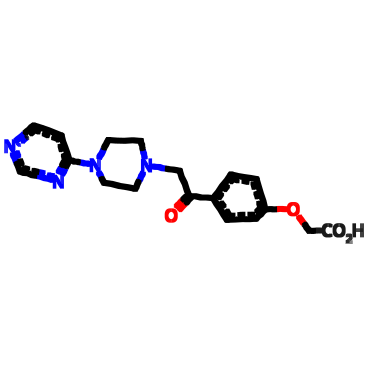 O=C(O)COc1ccc(C(=O)CN2CCN(c3ccncn3)CC2)cc1